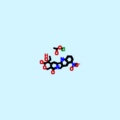 CC(=O)OCl.CCC1(O)C(=O)OCc2c1cc1n(c2=O)Cc2cc3c([N+](=O)[O-])cccc3nc2-1